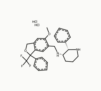 COc1cc2c(cc1CN[C@H]1CCCN[C@H]1c1ccccc1)C(c1ccccc1)(C(F)(F)F)OC2.Cl.Cl